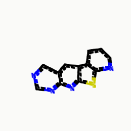 c1cnc2sc3nc4ncncc4cc3c2c1